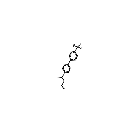 [CH2]CCC(C)c1ccc(-c2ccc(C(F)(F)F)cc2)cc1